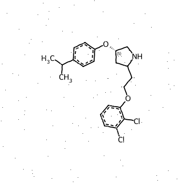 CC(C)c1ccc(O[C@@H]2CNC([CH][CH]Oc3cccc(Cl)c3Cl)C2)cc1